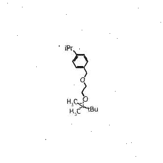 CC(C)c1ccc(COCCO[Si](C)(C)C(C)(C)C)cc1